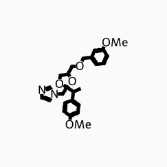 COc1ccc(C(C)C2(Cn3ccnc3)OCC(COCc3cccc(OC)c3)O2)cc1